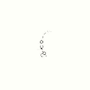 COCCOCCOc1ccc(N2CCC(O)(COc3ccc(F)c4c3CCC(=O)N4)CC2)c(F)c1